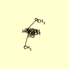 CCCCCCCCCCCCCC[C@@H](O)[C@@H](O)[C@H](COC1OC(CO)C(O)C(O)C1O)NC1(CCCCCCCCCCC23CC=C(CC(C)C2)C3)COC1